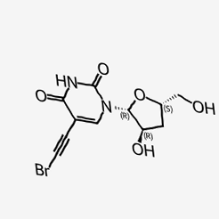 O=c1[nH]c(=O)n([C@@H]2O[C@H](CO)C[C@H]2O)cc1C#CBr